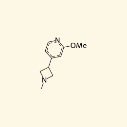 COc1cc(C2CN(C)C2)ccn1